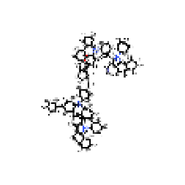 C=Cc1c(/C=C\C)c2ccc3ccccc3c2n1-c1ccccc1-c1ccc(N(c2ccc(-c3cccc(Cc4ccc(N(c5ccc(-c6ccccc6)cc5)c5ccc(-c6ccccc6-n6c7ccccc7c7ccc8ccccc8c76)cc5)cc4)c3)cc2)c2ccccc2-c2ccccc2)cc1